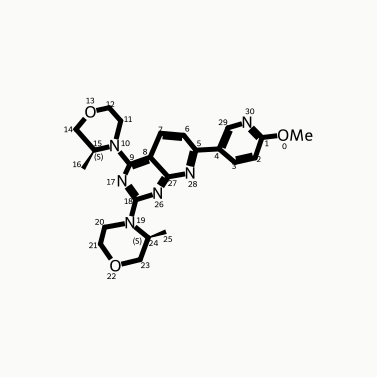 COc1ccc(-c2ccc3c(N4CCOC[C@@H]4C)nc(N4CCOC[C@@H]4C)nc3n2)cn1